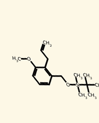 C=CCc1c(CO[Si](C)(C)C(C)(C)C)cccc1OC